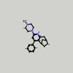 CCN1CCN(c2cc(-c3ccccc3)c3c(n2)CC2CCC3C2)CC1